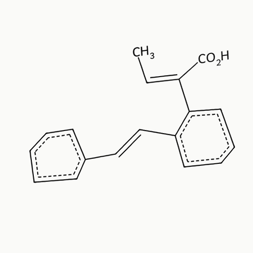 CC=C(C(=O)O)c1ccccc1C=Cc1ccccc1